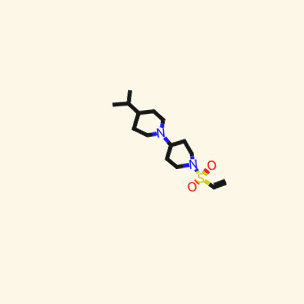 C=CS(=O)(=O)N1CCC(N2CCC(C(C)C)CC2)CC1